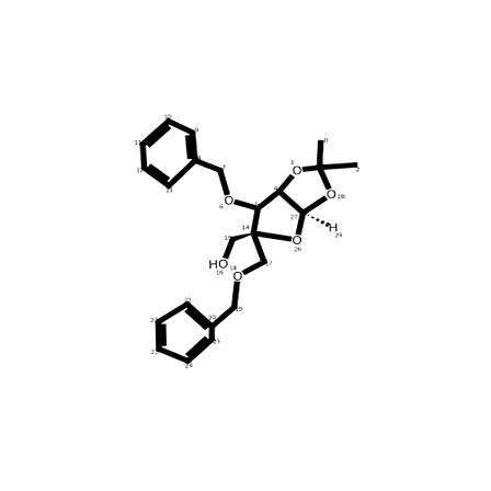 CC1(C)OC2C(OCc3ccccc3)[C@@](CO)(COCc3ccccc3)O[C@@H]2O1